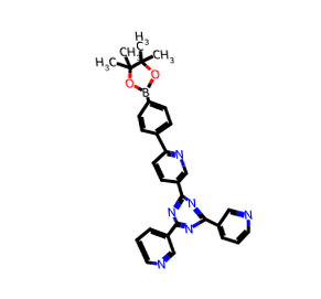 CC1(C)OB(c2ccc(-c3ccc(-c4nc(-c5cccnc5)nc(-c5cccnc5)n4)cn3)cc2)OC1(C)C